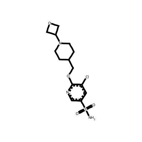 NS(=O)(=O)c1cnc(OCC2CCN(C3COC3)CC2)c(Cl)c1